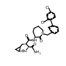 CCCC[C@H](C(N)=O)[C@@H](CC1CC1)C(=O)N[C@H]1CCCCN(Cc2cccc(-c3ccc(Cl)cc3Cl)c2)C1=O